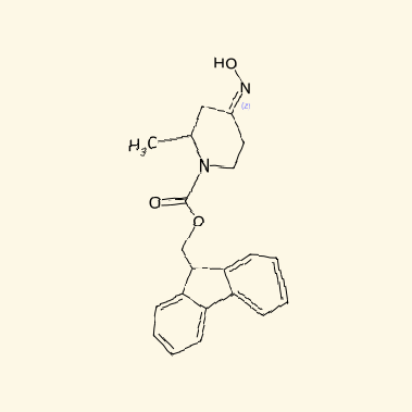 CC1C/C(=N\O)CCN1C(=O)OCC1c2ccccc2-c2ccccc21